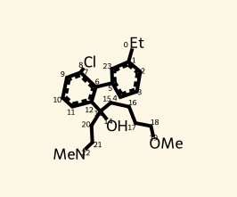 CCc1cccc(-c2c(Cl)cccc2C(O)(CCCCOC)CCNC)c1